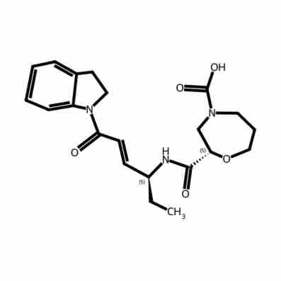 CC[C@@H](C=CC(=O)N1CCc2ccccc21)NC(=O)[C@@H]1CN(C(=O)O)CCCO1